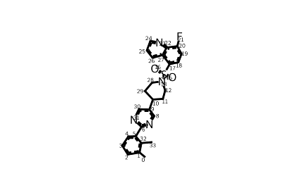 Cc1cccc(-c2ncc(C3CCN(S(=O)(=O)c4ccc(F)c5ncccc45)CC3)cn2)c1C